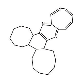 C1=C\C=C/c2nc3c(nc2\C=C/1)C1CCCCCCCC1C1CCCCCCC31